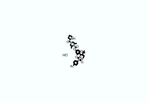 CC(=O)c1ccc(-n2c(=O)n3n(c2=O)C2C(=CC3)C(C)(C)Oc3cc(OC(=O)N4C(C)CN(C(=O)[C@@H]5CCCN5)CC4C)ccc32)cc1.Cl